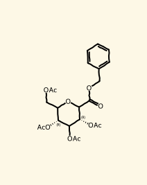 CC(=O)OCC1OC(C(=O)OCc2ccccc2)[C@H](OC(C)=O)C(OC(C)=O)[C@@H]1OC(C)=O